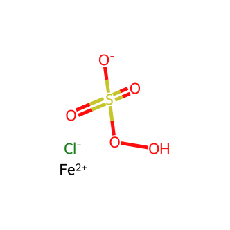 O=S(=O)([O-])OO.[Cl-].[Fe+2]